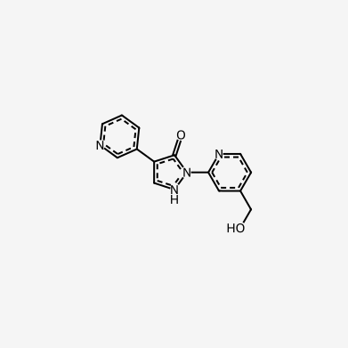 O=c1c(-c2cccnc2)c[nH]n1-c1cc(CO)ccn1